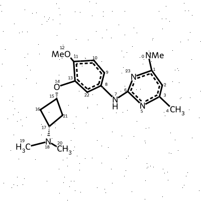 CNc1cc(C)nc(Nc2ccc(OC)c(O[C@H]3C[C@@H](N(C)C)C3)c2)n1